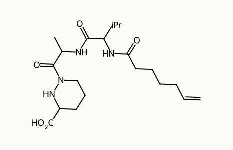 C=CCCCCC(=O)NC(C(=O)NC(C)C(=O)N1CCCC(C(=O)O)N1)C(C)C